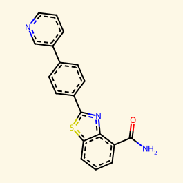 NC(=O)c1cccc2sc(-c3ccc(-c4cccnc4)cc3)nc12